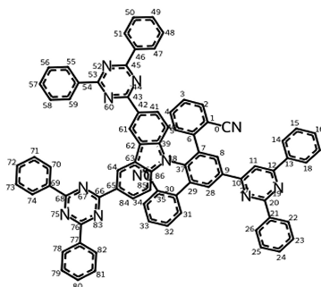 N#Cc1ccccc1-c1cc(-c2cc(-c3ccccc3)nc(-c3ccccc3)n2)cc(-c2ccccc2C#N)c1-n1c2ccc(-c3nc(-c4ccccc4)nc(-c4ccccc4)n3)cc2c2cc(-c3nc(-c4ccccc4)nc(-c4ccccc4)n3)ccc21